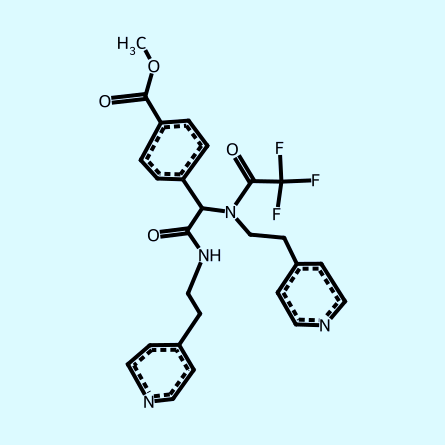 COC(=O)c1ccc(C(C(=O)NCCc2ccncc2)N(CCc2ccncc2)C(=O)C(F)(F)F)cc1